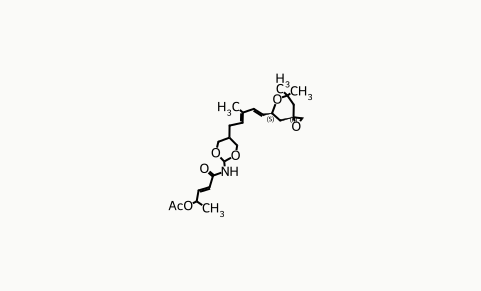 CC(=O)OC(C)C=CC(=O)NC1OCC(CC=C(C)C=C[C@@H]2C[C@]3(CO3)CC(C)(C)O2)CO1